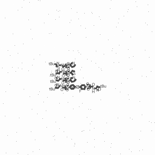 CC(C)(C)c1cc(NC(=O)C(C)(C)S(=O)(=O)c2ccc(C#N)cc2)no1.CC(C)(C)c1cc(NC(=O)C(C)(C)S(=O)(=O)c2cccnc2)no1.CC(C)(C)c1cc(NC(=O)C(C)(C)S(=O)(=O)c2ccsc2)no1.CC(C)(C)c1csc(NC(=O)C(C)(C)S(=O)(=O)c2cccnc2)n1.COc1ccc(S(=O)(=O)C(C)(C)C(=O)Nc2cc(C(C)(C)C)on2)cc1F